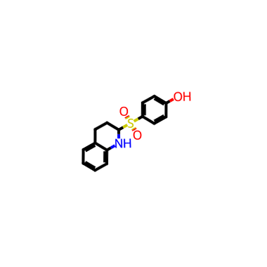 O=S(=O)(c1ccc(O)cc1)C1CCc2ccccc2N1